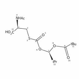 CC(=O)N[C@@H](CSC(=O)O[C@@H](OC(=O)C(C)(C)C)C(C)C)C(=O)O